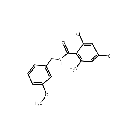 COc1cccc(CNC(=O)c2c(N)cc(Cl)cc2Cl)c1